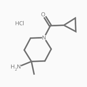 CC1(N)CCN(C(=O)C2CC2)CC1.Cl